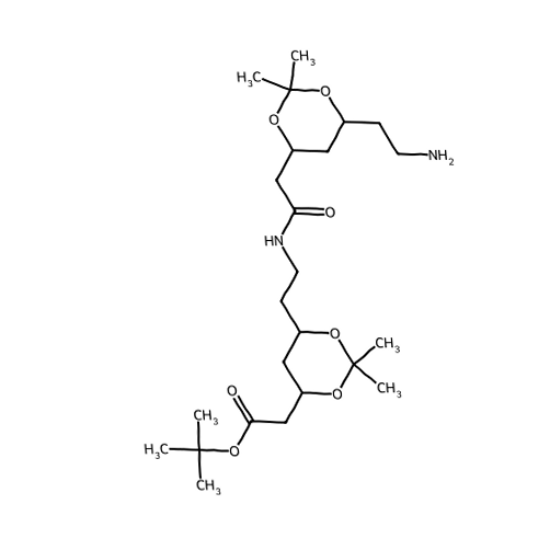 CC(C)(C)OC(=O)CC1CC(CCNC(=O)CC2CC(CCN)OC(C)(C)O2)OC(C)(C)O1